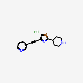 C(#Cc1csc(C2CCNCC2)n1)c1cccnc1.Cl